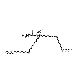 NCCNCCN(CCCCCCCC/C=C\CCCCCCCC(=O)[O-])CCCCCCCC/C=C\CCCCCCCC(=O)[O-].[Gd+2]